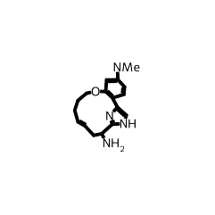 CNc1ccc2c(c1)OCCC/C=C/CC(N)c1nc-2c[nH]1